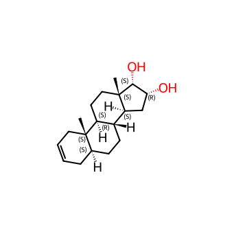 C[C@]12CC=CC[C@@H]1CC[C@@H]1[C@@H]2CC[C@]2(C)[C@H](O)[C@H](O)C[C@@H]12